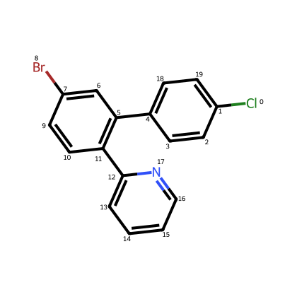 Clc1ccc(-c2cc(Br)ccc2-c2ccccn2)cc1